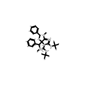 COC(=O)C(SCc1ccccc1)(C(OC)c1ccccc1)N(C(=O)OC(C)(C)C)C(=O)OC(C)(C)C